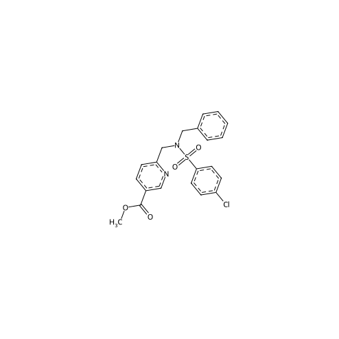 COC(=O)c1ccc(CN(Cc2ccccc2)S(=O)(=O)c2ccc(Cl)cc2)nc1